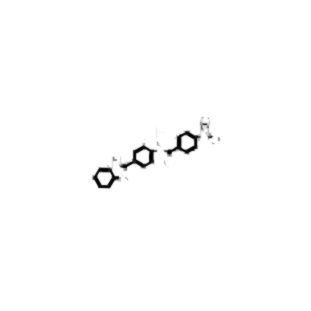 O=C(Nc1ccc(-c2nc3ccccc3s2)cc1)c1ccc([N+](=O)[O-])cc1